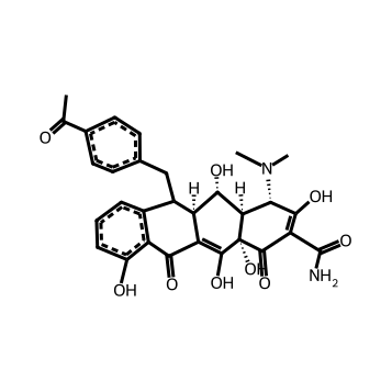 CC(=O)c1ccc(CC2c3cccc(O)c3C(=O)C3=C(O)[C@]4(O)C(=O)C(C(N)=O)=C(O)[C@@H](N(C)C)[C@@H]4[C@@H](O)[C@@H]32)cc1